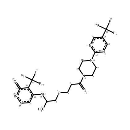 CC(COCCC(=O)N1CCN(c2ncc(C(F)(F)F)cn2)CC1)Nc1cn[nH]c(=O)c1C(F)(F)F